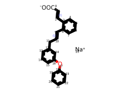 O=C([O-])/C=C/c1ccccc1/C=C/Cc1cccc(Oc2ccccc2)c1.[Na+]